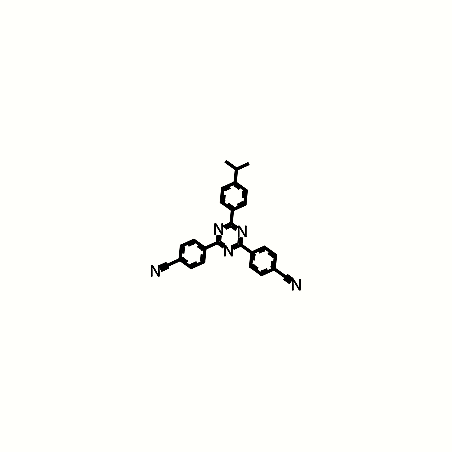 CC(C)c1ccc(-c2nc(-c3ccc(C#N)cc3)nc(-c3ccc(C#N)cc3)n2)cc1